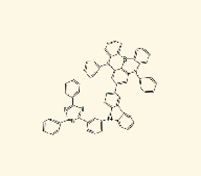 c1ccc(-c2nc(-c3ccccc3)nc(-c3cccc(-n4c5ccccc5c5cc(-c6cc7c8c(c6)N(c6ccccc6)c6ccccc6B8c6ccccc6N7c6ccccc6)ccc54)c3)n2)cc1